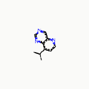 CC(C)c1ccnc2cncnc12